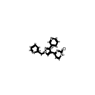 Clc1nccc(-c2cn(Cc3ccccn3)nc2-c2cccnc2)n1